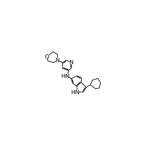 c1cc2c(C3CCCCC3)c[nH]c2cc1Nc1cncc(N2CCOCC2)c1